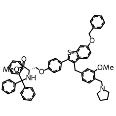 COC(=O)[C@H](COc1ccc(-c2sc3cc(OCc4ccccc4)ccc3c2Cc2ccc(CN3CCCC3)c(OC)c2)cc1)NC(c1ccccc1)(c1ccccc1)c1ccccc1